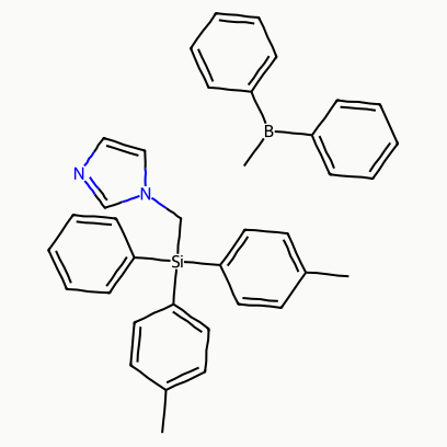 CB(c1ccccc1)c1ccccc1.Cc1ccc([Si](Cn2ccnc2)(c2ccccc2)c2ccc(C)cc2)cc1